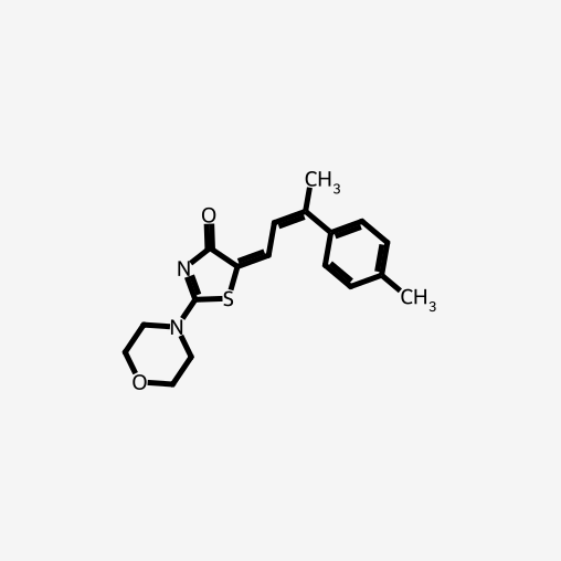 C/C(=C/C=C1/SC(N2CCOCC2)=NC1=O)c1ccc(C)cc1